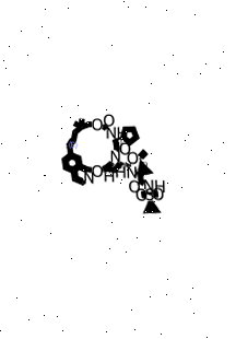 C=C[C@@H]1C[C@]1(NC(=O)[C@@H]1C[C@@H]2CN1C(=O)[C@H](C1CCCC1)NC(=O)OCC(C)(C)C/C=C/c1ccc3ccnc(c3c1)O2)C(=O)NS(=O)(=O)C1CC1